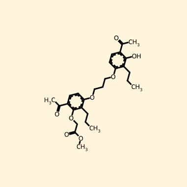 CCCc1c(OCCCOc2ccc(C(C)=O)c(OCC(=O)OC)c2CCC)ccc(C(C)=O)c1O